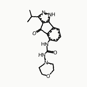 CC(C)c1n[nH]c2c1C(=O)c1c(NC(=O)NN3CCOCC3)cccc1-2